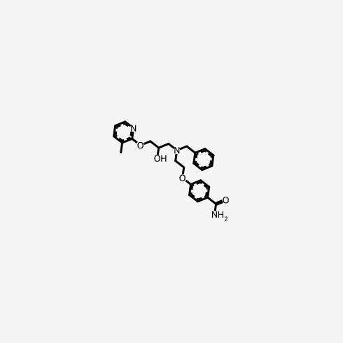 Cc1cccnc1OCC(O)CN(CCOc1ccc(C(N)=O)cc1)Cc1ccccc1